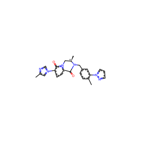 Cc1cn(-c2ccc3n(c2=O)C[C@@H](C)N(Cc2ccc(C)c(-n4cccn4)c2)C3=O)cn1